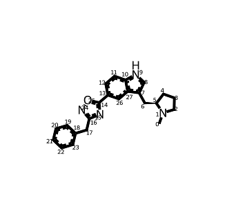 CN1CCC[C@@H]1Cc1c[nH]c2ccc(-c3nc(Cc4ccccc4)no3)cc12